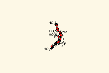 COc1cc(Nc2nc(NCCS(=O)(=O)O)nc(Nc3ccc(N=Nc4ccc(N=Nc5ccc(S(=O)(=O)O)cc5)cc4S(=O)(=O)O)c(OC)c3)n2)ccc1N=Nc1ccc(N=Nc2ccc(S(=O)(=O)O)cc2)cc1S(=O)(=O)O